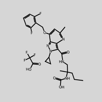 CCCC(C)(CNC(=O)c1c2nc(C)cc(OCc3c(F)cccc3F)c2nn1C1CC1)NC(=O)O.O=C(O)C(F)(F)F